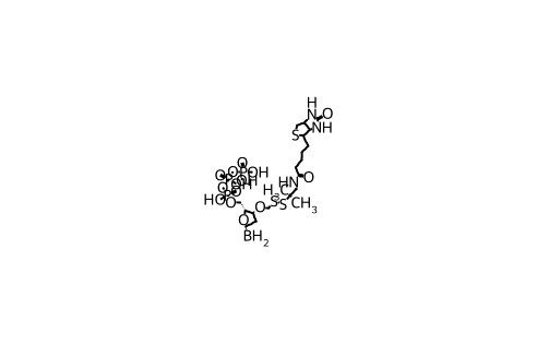 B[C@H]1C[C@@H](OCSSC(C)(C)CNC(=O)CCCCC2SCC3NC(=O)NC32)[C@@H](COP(=O)(O)OP(=O)(O)OP(=O)(O)O)O1